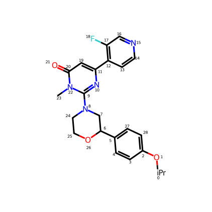 CC(C)Oc1ccc(C2CN(c3nc(-c4ccncc4F)cc(=O)n3C)CCO2)cc1